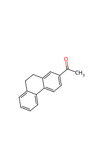 CC(=O)c1ccc2c(c1)CCc1ccccc1-2